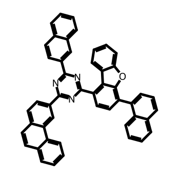 c1ccc2cc(-c3nc(-c4ccc5ccc6ccccc6c5c4)nc(-c4ccc(-c5cccc6ccccc56)c5oc6ccccc6c45)n3)ccc2c1